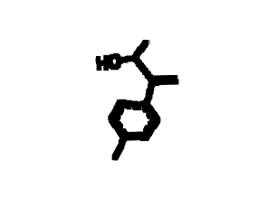 C=C(c1ccc(C)cc1)C(C)O